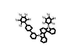 [2H]c1c([2H])c([2H])c(-c2ccc(-c3cccc(-n4c5ccccc5c5c6c7ccccc7n(-c7c([2H])c([2H])c([2H])c([2H])c7[2H])c6ccc54)c3)cc2)c([2H])c1[2H]